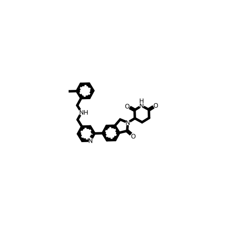 Cc1ccccc1CNCc1ccnc(-c2ccc3c(c2)CN(C2CCC(=O)NC2=O)C3=O)c1